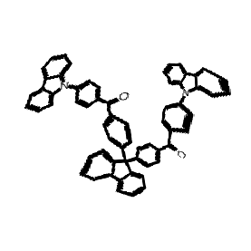 O=C(c1ccc(-n2c3ccccc3c3ccccc32)cc1)c1ccc(C2(c3ccc(C(=O)c4ccc(-n5c6ccccc6c6ccccc65)cc4)cc3)c3ccccc3-c3ccccc32)cc1